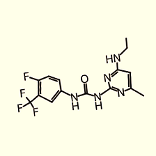 CCNc1cc(C)nc(NC(=O)Nc2ccc(F)c(C(F)(F)F)c2)n1